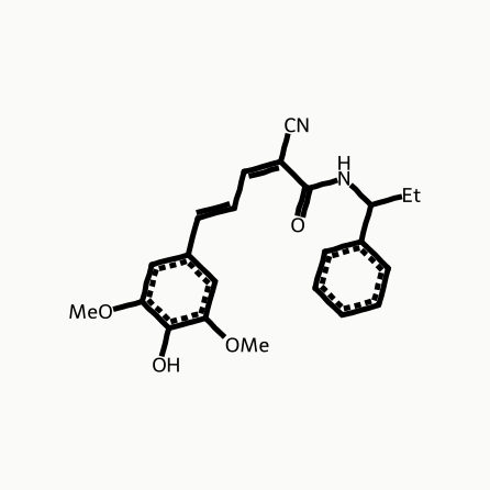 CCC(NC(=O)C(C#N)=CC=Cc1cc(OC)c(O)c(OC)c1)c1ccccc1